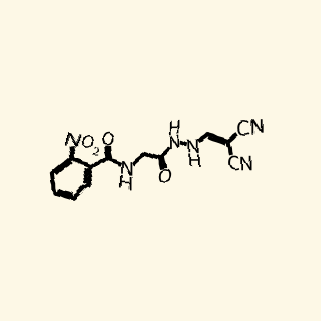 N#CC(C#N)=CNNC(=O)CNC(=O)c1ccccc1[N+](=O)[O-]